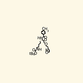 Cc1ccc(C(=O)N[C@@H](CCCCCNC(=O)OC(C)(C)C)C(=O)COCCc2ccon2)cc1